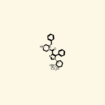 CCOC(=O)N[C@H]1CCCC[C@H]1n1cnc(C(=O)N2CCNC[C@H]2Cc2ccccc2)c1-c1ccccc1